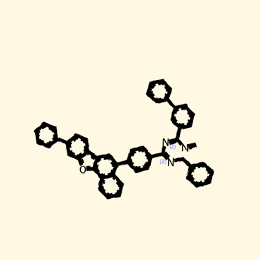 C=N/C(=N\C(=N/Cc1ccccc1)c1ccc(-c2cc3c4ccc(-c5ccccc5)cc4oc3c3ccccc23)cc1)c1cccc(-c2ccccc2)c1